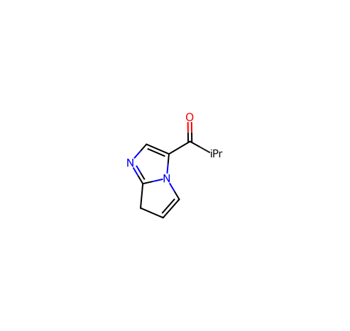 CC(C)C(=O)c1cnc2n1C=CC2